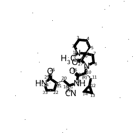 CN1CCCC[C@]12CCN([C@H](CC1CC1)C(=O)N[C@H](C#N)C[C@@H]1CCNC1=O)C2=O